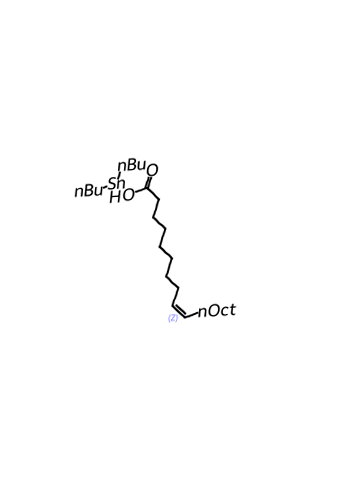 CCCCCCCC/C=C\CCCCCCCC(=O)[O][SnH]([CH2]CCC)[CH2]CCC